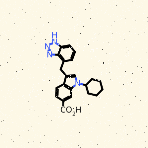 O=C(O)c1ccc2c(Cc3cccc4[nH]nnc34)cn(C3CCCCC3)c2c1